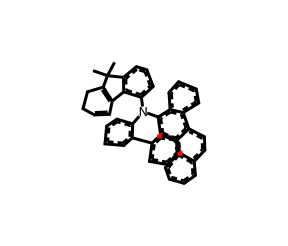 CC1(C)C2=C(C=CCC2)c2c(N(c3ccccc3-c3ccccc3)c3cc4c5ccccc5ccc4c4ccccc34)cccc21